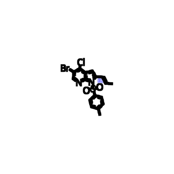 C/C=C/c1cc2c(Cl)c(Br)cnc2n1S(=O)(=O)c1ccc(C)cc1